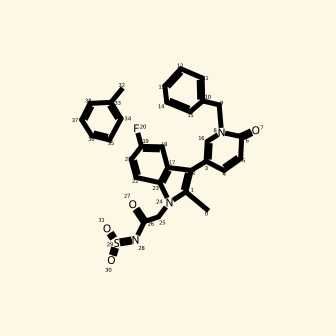 Cc1c(-c2ccc(=O)n(Cc3ccccc3)c2)c2cc(F)ccc2n1CC(=O)N=S(=O)=O.Cc1ccccc1